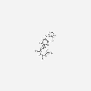 Cc1cc(CN2CCC[C@H]2C)ccc1B1OC(=O)CN(C)CC(=O)O1